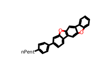 CCCCCc1ccc(-c2ccc3c(c2)oc2cc4c(cc23)oc2ccccc24)cc1